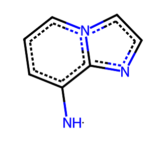 [NH]c1cccn2ccnc12